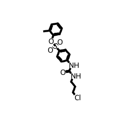 Cc1ccccc1OS(=O)(=O)c1ccc(NC(=O)NCCCCl)cc1